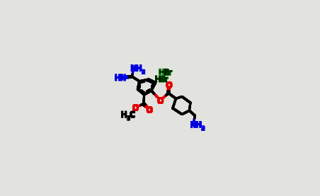 Br.Br.COC(=O)c1cc(C(=N)N)ccc1OC(=O)C1CCC(CN)CC1